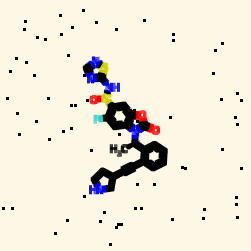 C[C@H](c1ccccc1C#CC1CCNC1)n1c(=O)oc2cc([S+]([O-])Nc3ncns3)c(F)cc21